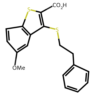 COc1ccc2sc(C(=O)O)c(SCCc3ccccc3)c2c1